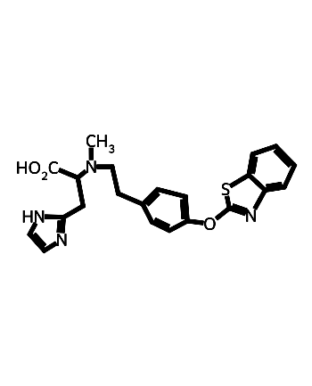 CN(CCc1ccc(Oc2nc3ccccc3s2)cc1)C(Cc1ncc[nH]1)C(=O)O